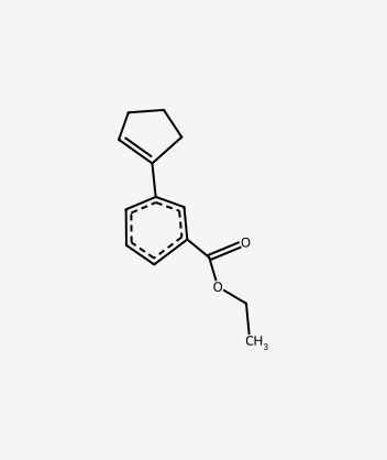 CCOC(=O)c1cccc(C2=CCCC2)c1